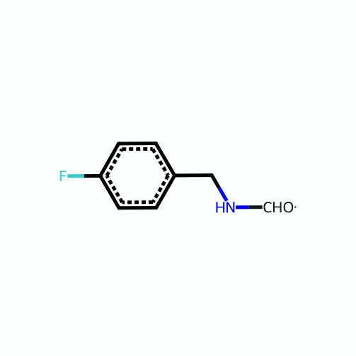 O=[C]NCc1ccc(F)cc1